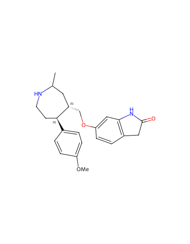 COc1ccc([C@H]2CCNC(C)C[C@@H]2COc2ccc3c(c2)NC(=O)C3)cc1